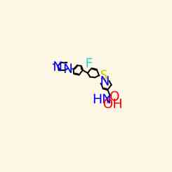 CN1CCN(c2ccc(C3CCC(SN4CC=C(C(=O)NO)CC4)C=C3F)cc2)CC1